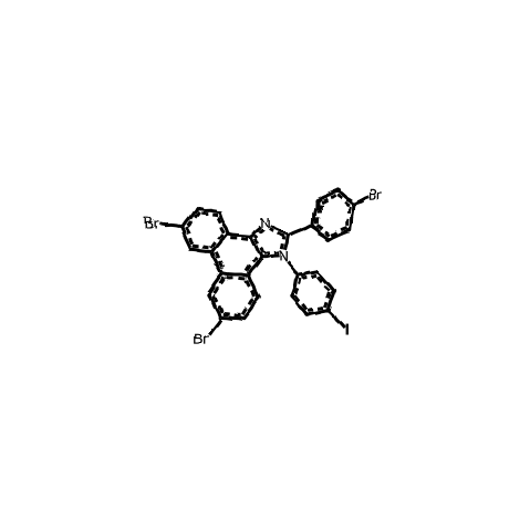 Brc1ccc(-c2nc3c4ccc(Br)cc4c4cc(Br)ccc4c3n2-c2ccc(I)cc2)cc1